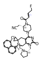 CN1CCC[C@H]1Cn1c2c(c(N3CCN(C(=O)/C=C/CF)[C@@H](CC#N)C3)nc1=O)CC1(CC1)N(c1cccc3cccc(Cl)c13)C2